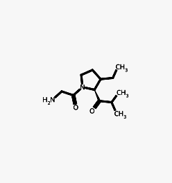 CCC1CCN(C(=O)CN)[C@@H]1C(=O)C(C)C